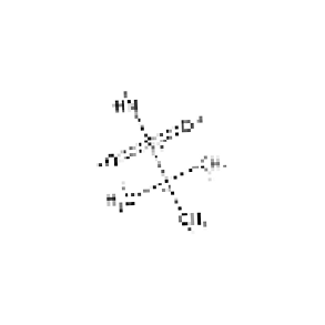 CC(C)(C)S([NH])(=O)=O